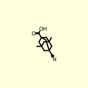 CC12CC3(C)CC(C#N)(C1)CC(C(=O)O)(C2)C3